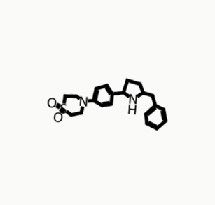 O=S1(=O)CCN(c2ccc(C3CCC(Cc4ccccc4)N3)cc2)CC1